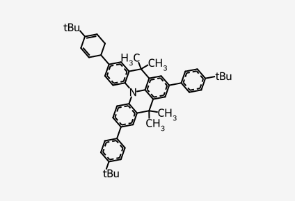 CC(C)(C)C1=CCC(c2ccc3c(c2)C(C)(C)c2cc(-c4ccc(C(C)(C)C)cc4)cc4c2N3c2ccc(-c3ccc(C(C)(C)C)cc3)cc2C4(C)C)C=C1